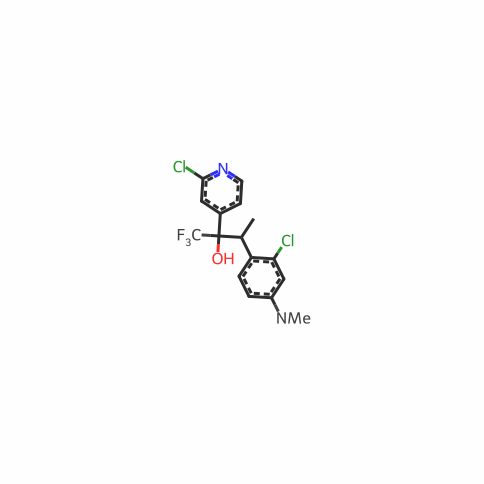 CNc1ccc(C(C)C(O)(c2ccnc(Cl)c2)C(F)(F)F)c(Cl)c1